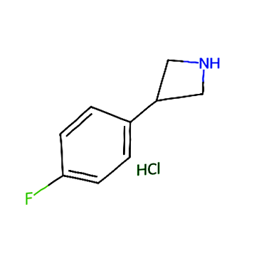 Cl.Fc1ccc(C2CNC2)cc1